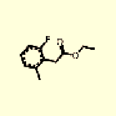 CCOC(=O)Cc1c(C)cccc1F